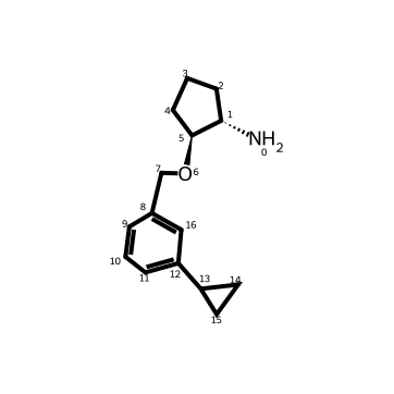 N[C@H]1CCC[C@@H]1OCc1cccc(C2CC2)c1